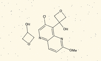 COc1ccc2ncc(Cl)c(C3(O)COC3)c2n1.OC1COC1